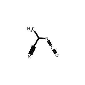 C[C](C#N)N=C=O